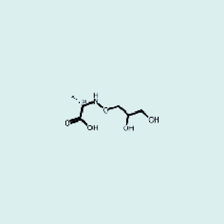 C[C@H](NOCC(O)CO)C(=O)O